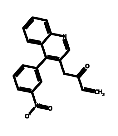 C=CC(=O)Cc1cnc2ccccc2c1-c1cccc([N+](=O)[O-])c1